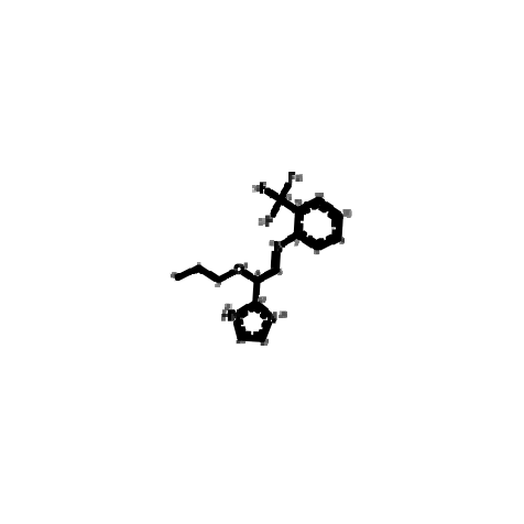 CCCOC(C=Nc1ccccc1C(F)(F)F)c1ncc[nH]1